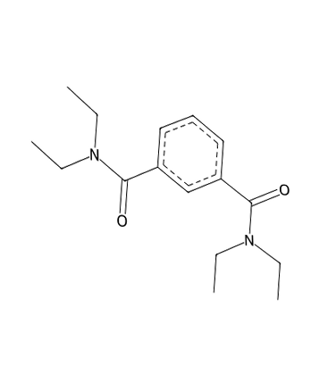 CCN(CC)C(=O)c1cccc(C(=O)N(CC)CC)c1